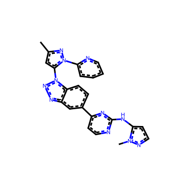 Cc1cc(-n2nnc3cc(-c4ccnc(Nc5ccnn5C)n4)ccc32)n(-c2ccccn2)n1